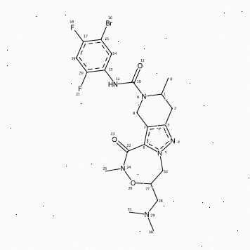 CC1Cc2nn3c(c2CN1C(=O)Nc1cc(Br)c(F)cc1F)C(=O)N(C)OC(CN(C)C)C3